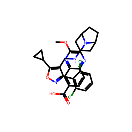 COc1nc2cc(C(=O)O)ccc2nc1N1C2CCC1CC(NCc1c(-c3c(Cl)cccc3Cl)noc1C1CC1)C2